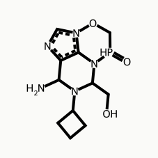 NC1c2ncn3c2N(C(CO)N1C1CCC1)[PH](=O)CO3